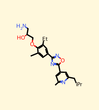 CCc1cc(-c2noc(-c3cc(C)nc(CC(C)C)c3)n2)cc(C)c1OC[C@@H](O)CN